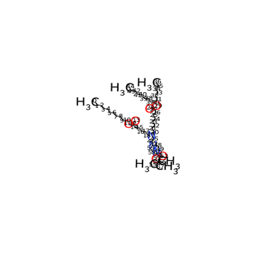 CCCCCCCCCCCOC(=O)CCCCCN(CCCCCCCC(=O)OC(CCCCCC)CCCCCCCC)CCN1CCN(C(=O)OC(C)(C)C)CC1